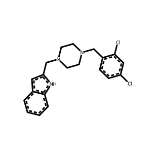 Clc1ccc(CN2CCN(Cc3cc4ccccc4[nH]3)CC2)c(Cl)c1